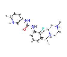 Cc1ccc(NC(=O)Nc2cccc(C(C)N3CCN(C)CC3)c2F)cn1